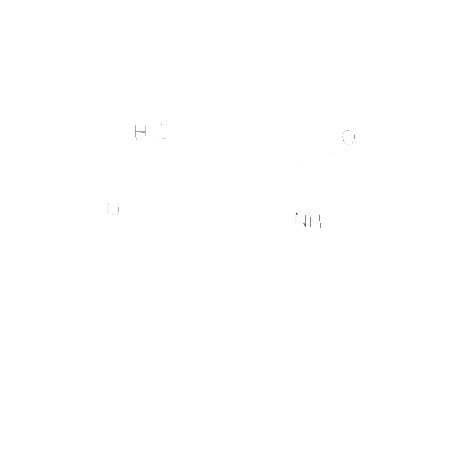 Cc1cc(=O)[nH]c2c1C(=O)CCC2